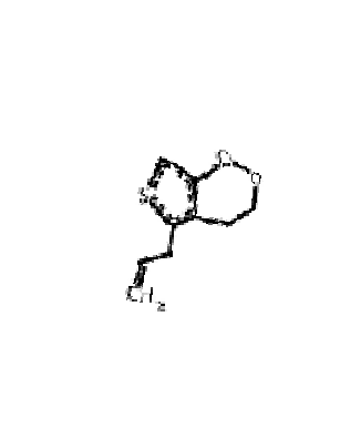 C=CCc1scc2c1CCOO2